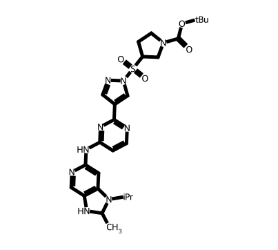 CC(C)N1c2cc(Nc3ccnc(-c4cnn(S(=O)(=O)C5CCN(C(=O)OC(C)(C)C)C5)c4)n3)ncc2NC1C